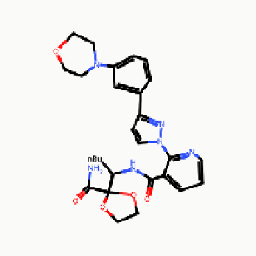 CCCCC(NC(=O)c1cccnc1-n1ccc(-c2cccc(N3CCOCC3)c2)n1)C1(C(N)=O)OCCO1